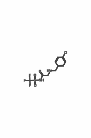 O=C(CNCc1ccc(Cl)cc1)NS(=O)(=O)C(F)(F)F